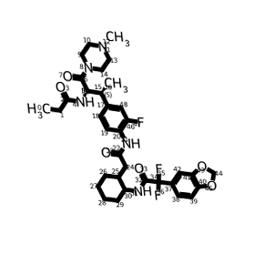 CCC(=O)N[C@@H](C(=O)N1CCN(C)CC1)[C@@H](C)c1ccc(NC(=O)CC2CCCCC2NC(=O)C(F)(F)c2ccc3c(c2)OCO3)c(F)c1